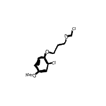 COc1ccc(OCCCOCCl)c(Cl)c1